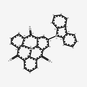 O=c1c2cccc3c(=O)c4cc(-n5c6ccccc6c6ccccc65)cc5c(=O)c6cccc1c6n(c23)c45